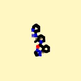 C[C@H]1[C@H](Nc2ccccn2)CCCN1C(=O)C1CCCC[C@@H]1n1nccn1